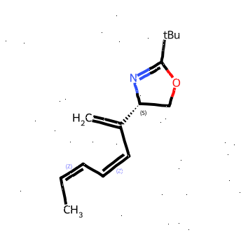 C=C(/C=C\C=C/C)[C@H]1COC(C(C)(C)C)=N1